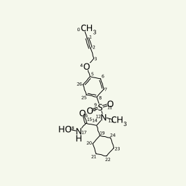 CC#CCOc1ccc(S(=O)(=O)N(C)C(C(=O)NO)C2CCCCC2)cc1